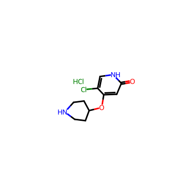 Cl.O=c1cc(OC2CCNCC2)c(Cl)c[nH]1